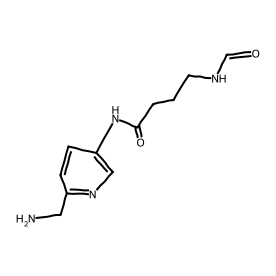 NCc1ccc(NC(=O)CCCNC=O)cn1